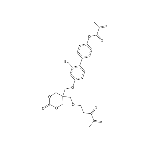 C=C(C)C(=O)CCOCC1(COc2ccc(-c3ccc(OC(=O)C(=C)C)cc3)c(CC)c2)COC(=O)OC1